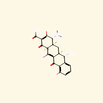 CN(C)[C@@H]1C(O)=C(C(N)=O)C(=O)[C@@]2(O)C(I)=C3C(=O)c4c(O)cccc4[C@H](N)[C@H]3C[C@@H]12